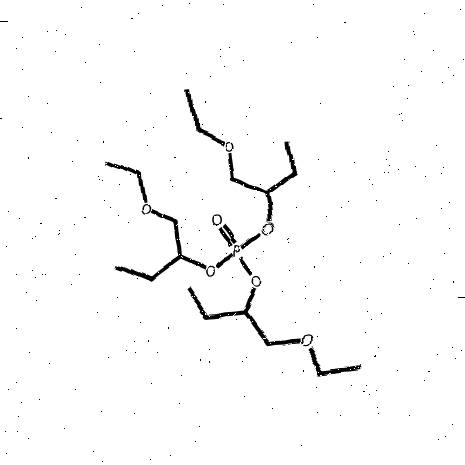 CCOCC(CC)OP(=O)(OC(CC)COCC)OC(CC)COCC